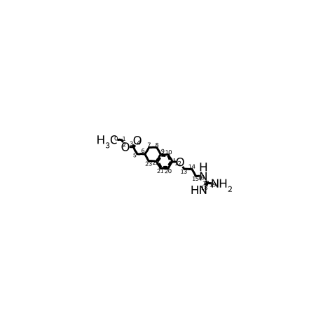 CCOC(=O)CC1CCc2cc(OCCCNC(=N)N)ccc2C1